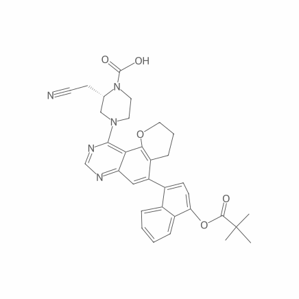 CC(C)(C)C(=O)Oc1ccc(-c2cc3ncnc(N4CCN(C(=O)O)[C@@H](CC#N)C4)c3c3c2CCCO3)c2ccccc12